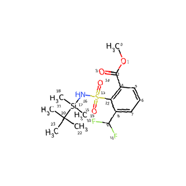 COC(=O)c1cccc(C(F)F)c1S(=O)(=O)N[Si](C)(C)C(C)(C)C